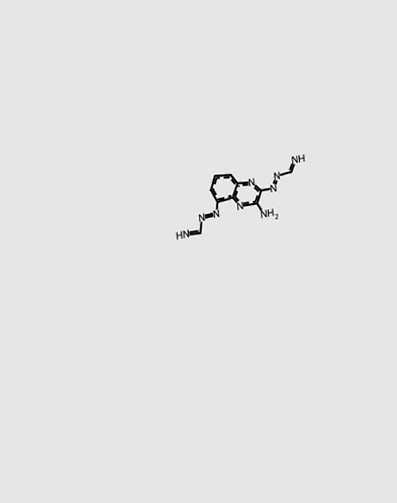 N=CN=Nc1nc2cccc(N=NC=N)c2nc1N